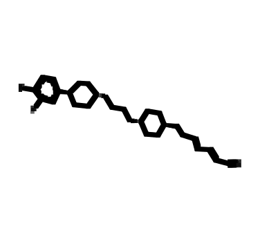 N#C/C=C/C=C/CC[C@H]1CC[C@H](CCCC[C@H]2CC[C@H](c3ccc(F)c(F)c3)CC2)CC1